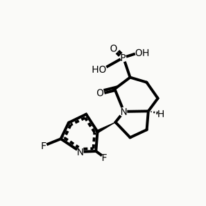 O=C1C(P(=O)(O)O)CC[C@H]2CC[C@@H](c3ccc(F)nc3F)N12